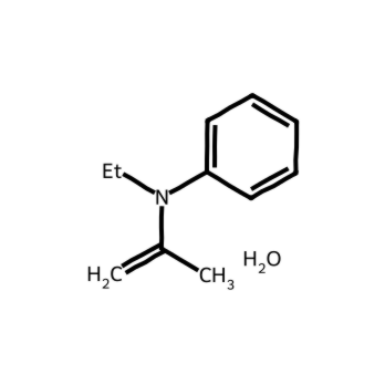 C=C(C)N(CC)c1ccccc1.O